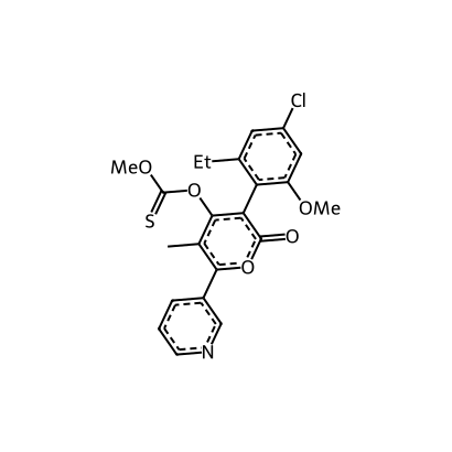 CCc1cc(Cl)cc(OC)c1-c1c(OC(=S)OC)c(C)c(-c2cccnc2)oc1=O